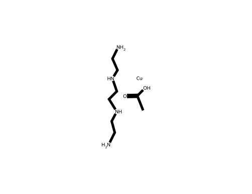 CC(=O)O.NCCNCCNCCN.[Cu]